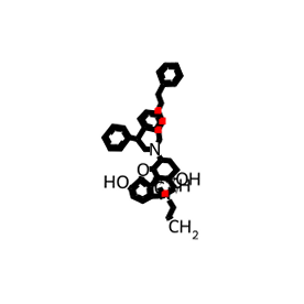 C=CCN1CC[C@]23c4c5ccc(O)c4OC2C(N(CCCCCCc2ccccc2)CC(c2ccccc2)c2ccccc2)CC[C@@]3(O)[C@H]1C5